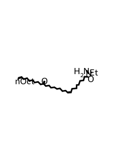 CCCCCCCC/C=C\CCCCCCCC(=O)CCCCCCCC/C=C\CCCCCCCC(=O)N(N)CC